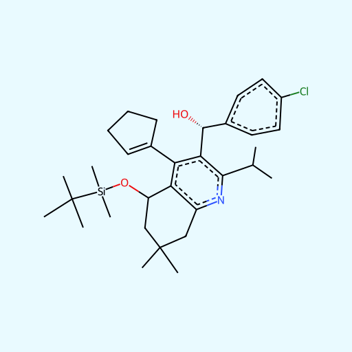 CC(C)c1nc2c(c(C3=CCCC3)c1[C@H](O)c1ccc(Cl)cc1)C(O[Si](C)(C)C(C)(C)C)CC(C)(C)C2